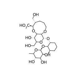 CC1O[C@@H](OC2[C@H](C)CCC[C@H]2O[C@@H]2OC(CO)[C@H](O)C3O[C@@H](C(=O)O)[C@H](CO)CCCOC32)[C@@H](O)C(O)[C@@H]1O